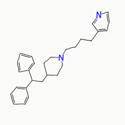 c1ccc(C(CC2CCN(CCCCc3cccnc3)CC2)c2ccccc2)cc1